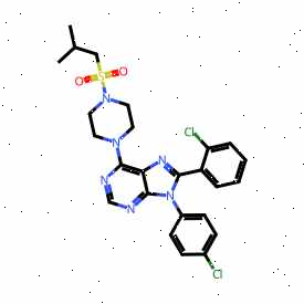 CC(C)CS(=O)(=O)N1CCN(c2ncnc3c2nc(-c2ccccc2Cl)n3-c2ccc(Cl)cc2)CC1